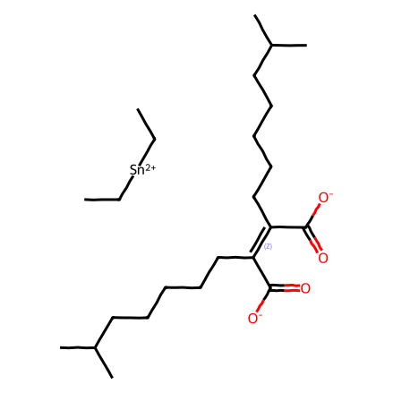 CC(C)CCCCC/C(C(=O)[O-])=C(\CCCCCC(C)C)C(=O)[O-].C[CH2][Sn+2][CH2]C